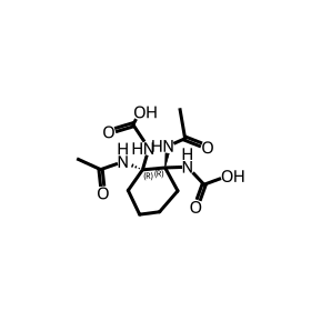 CC(=O)N[C@@]1(NC(=O)O)CCCC[C@@]1(NC(C)=O)NC(=O)O